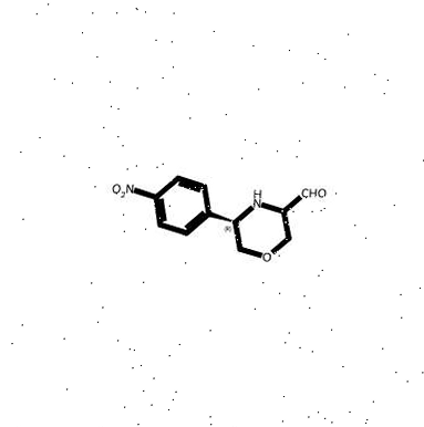 O=CC1COC[C@@H](c2ccc([N+](=O)[O-])cc2)N1